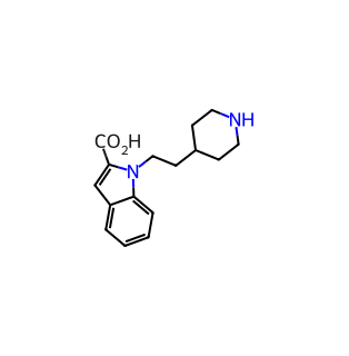 O=C(O)c1cc2ccccc2n1CCC1CCNCC1